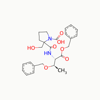 C[C@@H](OCc1ccccc1)[C@H](NC(=O)C1(CO)CCCN1C(=O)O)C(=O)OCc1ccccc1